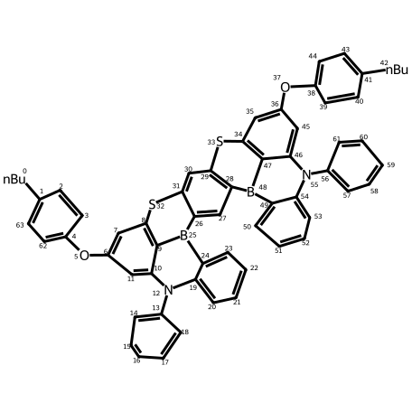 CCCCc1ccc(Oc2cc3c4c(c2)N(c2ccccc2)c2ccccc2B4c2cc4c(cc2S3)Sc2cc(Oc3ccc(CCCC)cc3)cc3c2B4c2ccccc2N3c2ccccc2)cc1